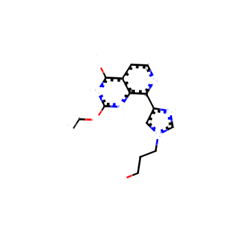 OCCCn1cnc(-c2nccc3c(O)nc(OCC(F)(F)F)nc23)c1